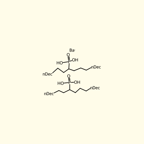 CCCCCCCCCCCCCC(CCCCCCCCCCCC)P(=O)(O)O.CCCCCCCCCCCCCC(CCCCCCCCCCCC)P(=O)(O)O.[Ba]